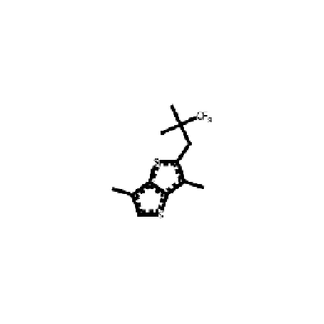 Cc1csc2c(C)c(CC(C)(C)C(F)(F)F)sc12